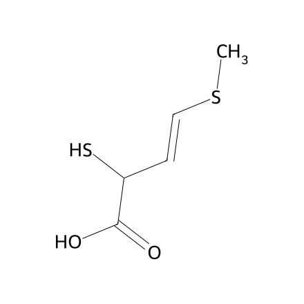 CSC=CC(S)C(=O)O